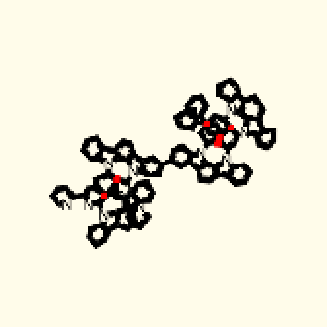 c1ccc(-c2cccc(-n3c4ccccc4c4ccc5c6ccccc6n(-c6cccc(-n7c8ccccc8c8ccc9c%10cc(-c%11ccc%12c(c%11)c%11ccc%13c%14ccccc%14n(-c%14cccc(-n%15c%16ccccc%16c%16ccc%17c%18ccccc%18n(-c%18cccc(-c%19ccccn%19)n%18)c%17c%16%15)c%14)c%13c%11n%12-c%11cccc(-c%12ccccn%12)n%11)ccc%10n(-c%10cccc(-c%11ccccc%11)c%10)c9c87)c6)c5c43)c2)cc1